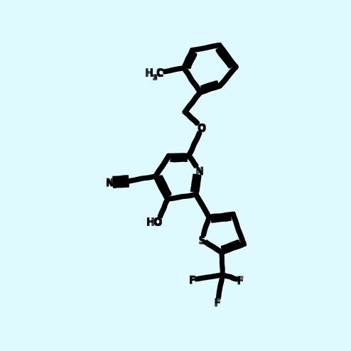 Cc1ccccc1COc1cc(C#N)c(O)c(-c2ccc(C(F)(F)F)s2)n1